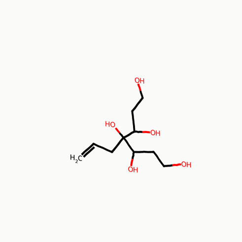 C=CCC(O)(C(O)CCO)C(O)CCO